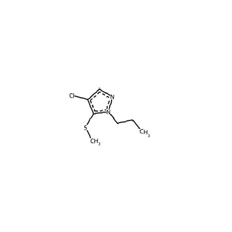 CCCn1n[c]c(Cl)c1SC